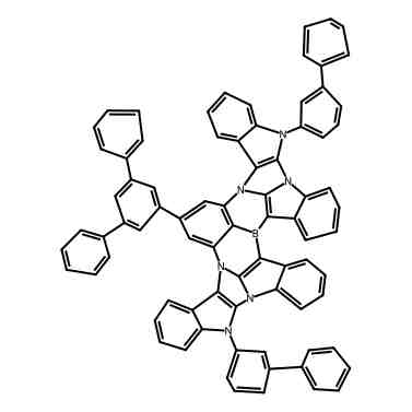 c1ccc(-c2cc(-c3ccccc3)cc(-c3cc4c5c(c3)-n3c6c7ccccc7n(-c7cccc(-c8ccccc8)c7)c6n6c7ccccc7c(c36)B5c3c5ccccc5n5c3n-4c3c4ccccc4n(-c4cccc(-c6ccccc6)c4)c35)c2)cc1